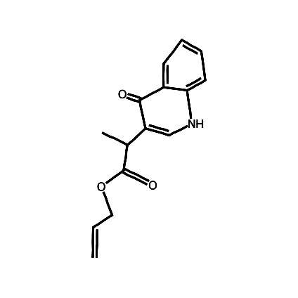 C=CCOC(=O)C(C)c1c[nH]c2ccccc2c1=O